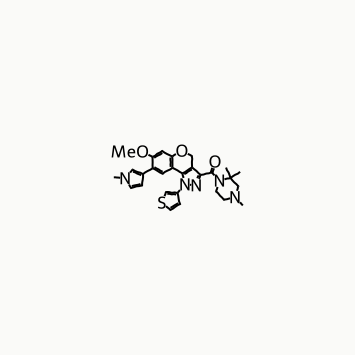 COc1cc2c(cc1-c1ccn(C)c1)-c1c(c(C(=O)N3CCN(C)CC3(C)C)nn1-c1ccsc1)CO2